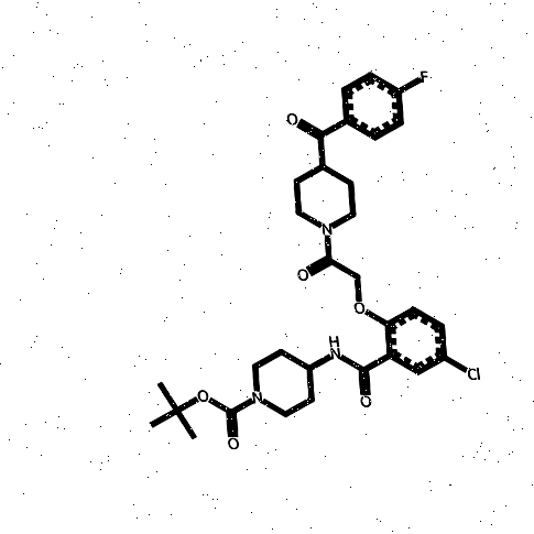 CC(C)(C)OC(=O)N1CCC(NC(=O)c2cc(Cl)ccc2OCC(=O)N2CCC(C(=O)c3ccc(F)cc3)CC2)CC1